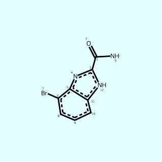 [NH]C(=O)c1nc2c(Br)cccc2[nH]1